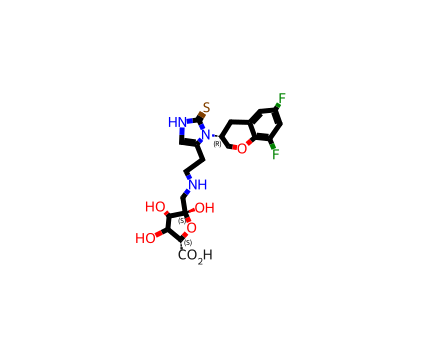 O=C(O)[C@H]1O[C@@](O)(CNCCc2c[nH]c(=S)n2[C@H]2COc3c(F)cc(F)cc3C2)C(O)C1O